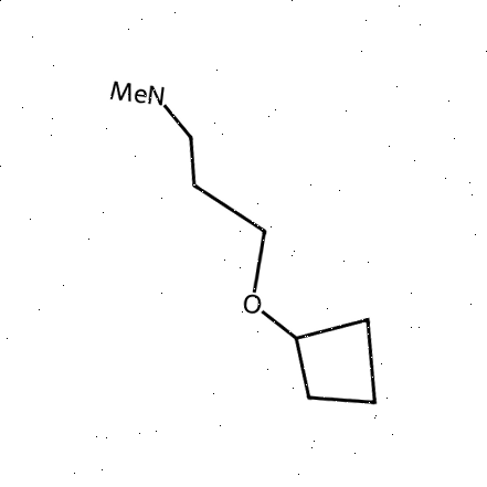 CNCCCOC1CCC1